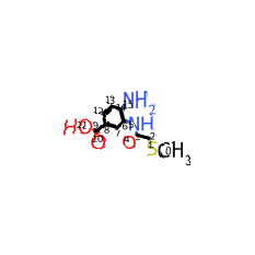 CSCC(=O)Nc1cc(C(=O)O)ccc1N